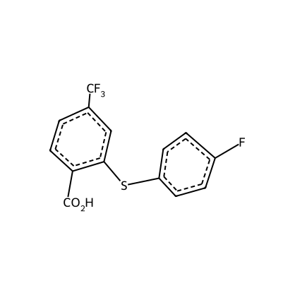 O=C(O)c1ccc(C(F)(F)F)cc1Sc1ccc(F)cc1